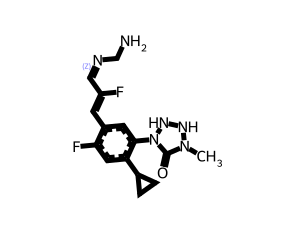 CN1NNN(c2cc(C=C(F)/C=N\CN)c(F)cc2C2CC2)C1=O